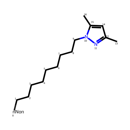 CCCCCCCCCCCCCCCCCCn1nc(C)cc1C